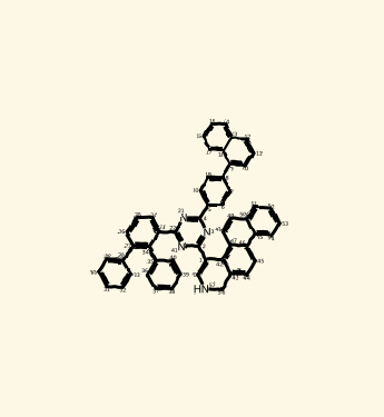 C1=C(c2nc(-c3ccc(-c4cccc5ccccc45)cc3)nc(-c3cccc(-c4ccccc4)c3-c3ccccc3)n2)c2c(ccc3c2ccc2ccccc23)CN1